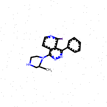 CC1CNCCN1c1nnc(-c2ccccc2)c2c(I)nccc12